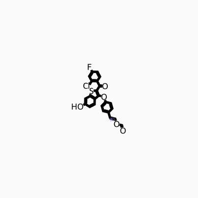 O=CO/C=C/c1ccc(Oc2c(C(=O)c3ccc(F)cc3Cl)sc3cc(O)ccc23)cc1